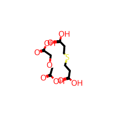 O=C(O)CCSCCC(=O)O.O=C(O)COCC(=O)O